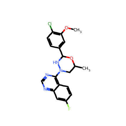 COc1cc(C2NN(c3ncnc4cc(F)ccc34)CC(C)O2)ccc1Cl